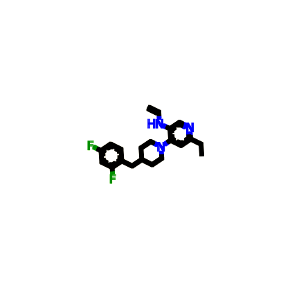 C=CNc1cnc(CC)cc1N1CCC(Cc2ccc(F)cc2F)CC1